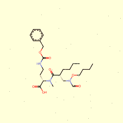 CCCCON(C=O)C[C@@H](CCCC)C(=O)N(C)[C@@H](CCNC(=O)OCc1ccccc1)C(=O)O